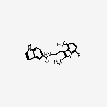 Cc1[nH]c2c(F)ccc(C)c2c1CCNC(=O)c1ccc2[nH]ccc2c1